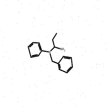 CCC(N)N(Cc1ccccc1)c1ccccc1